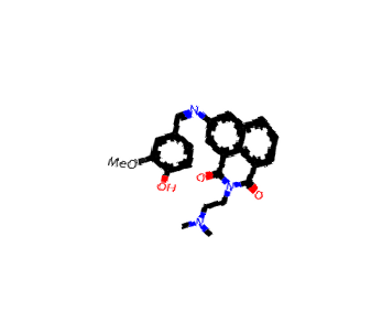 COc1cc(/C=N\c2cc3c4c(cccc4c2)C(=O)N(CCN(C)C)C3=O)ccc1O